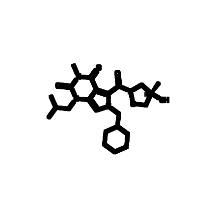 CC(C)Cn1c(=O)n(C)c(=O)c2c(C(=O)N3C[C@](C)(O)CO3)n(CC3CCCCC3)cc21